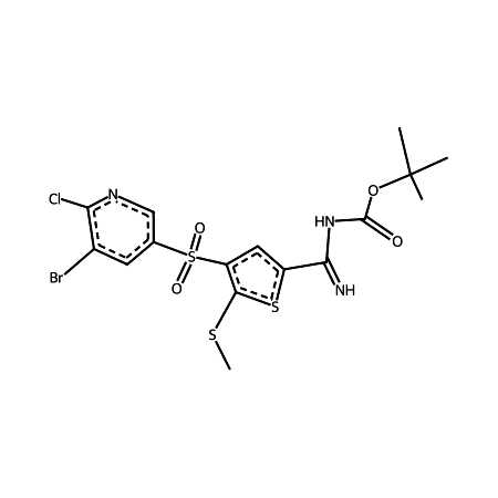 CSc1sc(C(=N)NC(=O)OC(C)(C)C)cc1S(=O)(=O)c1cnc(Cl)c(Br)c1